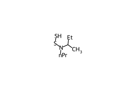 CCCN(SS)C(C)CC